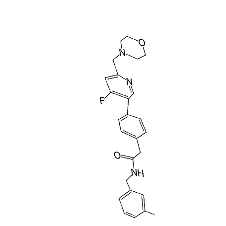 Cc1cccc(CNC(=O)Cc2ccc(-c3cnc(CN4CCOCC4)cc3F)cc2)c1